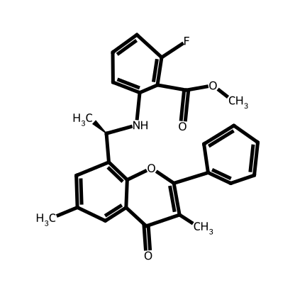 COC(=O)c1c(F)cccc1N[C@H](C)c1cc(C)cc2c(=O)c(C)c(-c3ccccc3)oc12